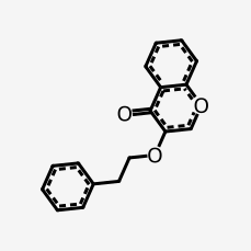 O=c1c(OCCc2ccccc2)coc2ccccc12